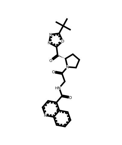 CC(C)(C)c1nnc(C(=O)[C@@H]2CCCN2C(=O)CNC(=O)c2ccnc3ccccc23)o1